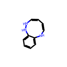 C1=C\NNc2ccccc2N\C=C/1